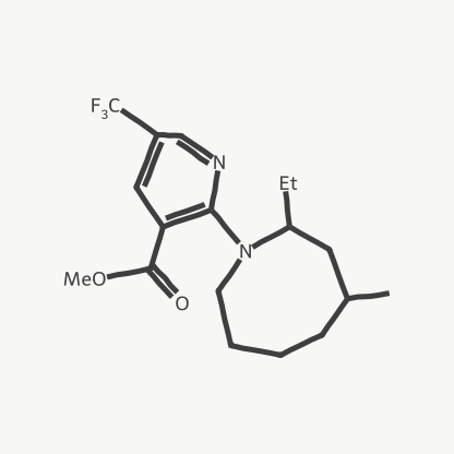 CCC1CC(C)CCCCN1c1ncc(C(F)(F)F)cc1C(=O)OC